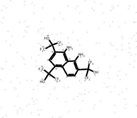 Nc1c(C(O)(C(F)(F)F)C(F)(F)F)ccc2c(C(O)(C(F)(F)F)C(F)(F)F)cc(C(O)(C(F)(F)F)C(F)(F)F)c(N)c12